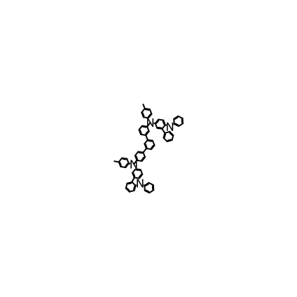 Cc1ccc(N(c2ccc(-c3cccc(-c4cccc(N(c5ccc(C)cc5)c5ccc6c(c5)c5ccccc5n6-c5ccccc5)c4)c3)cc2)c2ccc3c(c2)c2ccccc2n3-c2ccccc2)cc1